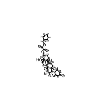 CC(=O)O[C@H]1[C@H]2O[C@]23[C@@H]2CC[C@]4(O)C[C@@H](OC(=O)C(=O)OCc5ccccc5)CC[C@]4(C)[C@H]2CC[C@]3(C)[C@H]1C1C=CC(=O)OC1